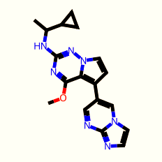 COc1nc(NC(C)C2CC2)nn2ccc(-c3cnc4nccn4c3)c12